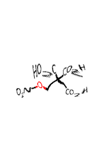 O=C(O)C(CO[N+](=O)[O-])(C(=O)O)C(=O)O